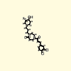 O=C(/C=C/c1ccc(Cl)c(Cl)c1)N1CCC(=O)N(CCCN2CC[C@@H](O)[C@@H](F)C2)CC1